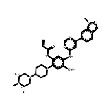 C=CC(=O)Nc1cc(Nc2cc(-c3ccc4cnn(C)c4c3)ncn2)c(OC)cc1N1CCC(N2C[C@@H](C)N(C)[C@@H](C)C2)CC1